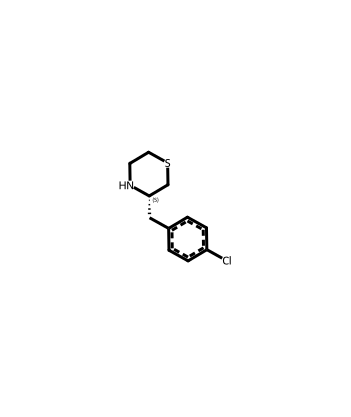 Clc1ccc(C[C@H]2CSCCN2)cc1